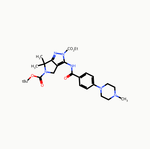 CCOC(=O)n1nc2c(c1NC(=O)c1ccc(N3CCN(C)CC3)cc1)CN(C(=O)OC(C)(C)C)C2(C)C